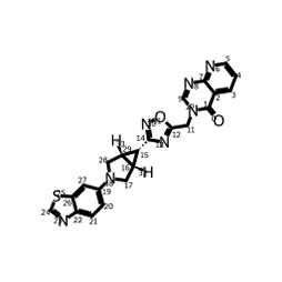 O=c1c2cccnc2ncn1Cc1nc([C@@H]2[C@@H]3CN(c4ccc5ncsc5c4)C[C@@H]32)no1